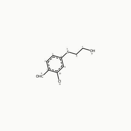 O=Cc1ccc(SCCO)cc1Cl